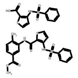 COC(=O)c1ccc(C)c(NC(=O)c2sccc2NS(=O)(=O)c2ccccc2)c1.O=C(O)c1sccc1NS(=O)(=O)c1ccccc1